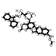 CC[C@H](OC(=O)C(C)ON=C1c2ccccc2-c2ccccc21)c1cc2n(c(=O)c1COC=O)Cc1cc3cc(BOC=O)ccc3nc1-2